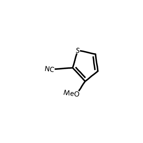 COc1ccsc1C#N